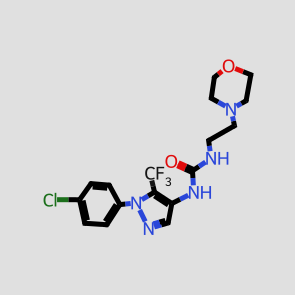 O=C(NCCN1CCOCC1)Nc1cnn(-c2ccc(Cl)cc2)c1C(F)(F)F